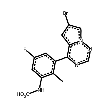 Cc1c(NC(=O)O)cc(F)cc1-c1ncnn2cc(Br)cc12